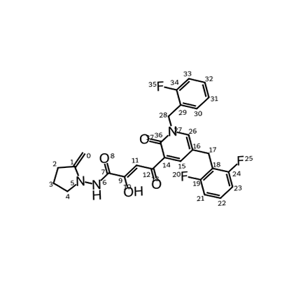 C=C1CCCN1NC(=O)/C(O)=C/C(=O)c1cc(Cc2c(F)cccc2F)cn(Cc2ccccc2F)c1=O